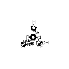 CN(c1cc(F)c(S(=O)(=O)Nc2cscn2)cc1Cl)[C@H]1CCNC1.O=C(O)C(F)(F)F